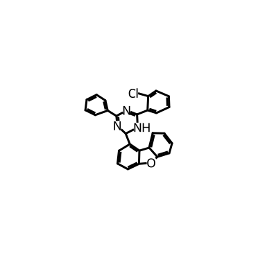 Clc1ccccc1C1=NC(c2ccccc2)=NC(c2cccc3oc4ccccc4c23)N1